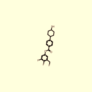 O=C(Oc1cc(F)c(F)c(CF)c1)c1ccc(C2CCC(S)CC2)cc1